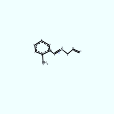 Bc1ccccc1/C=N/CC=C